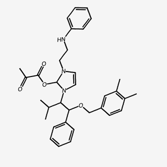 CC(=O)C(=O)OC1N(CCNc2ccccc2)C=CN1C(C(C)C)C(OCc1ccc(C)c(C)c1)c1ccccc1